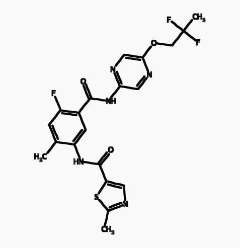 Cc1ncc(C(=O)Nc2cc(C(=O)Nc3cnc(OCC(C)(F)F)cn3)c(F)cc2C)s1